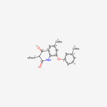 CCCCCC1C(=O)Nc2c(Oc3cccc(OC)c3)cc(OC)cc2C1=O